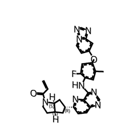 C=CC(=O)N1CC[C@@H]2C[C@@H](c3ccc4ncnc(Nc5cc(C)c(Oc6ccn7ncnc7c6)cc5F)c4n3)C[C@@H]21